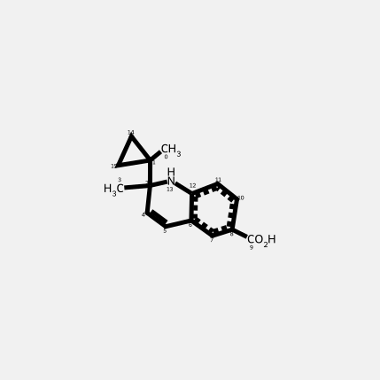 CC1(C2(C)C=Cc3cc(C(=O)O)ccc3N2)CC1